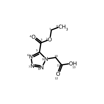 CCOC(=O)c1nnnn1CC(=O)O